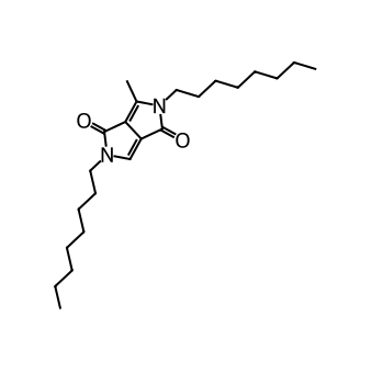 CCCCCCCCN1C=C2C(=O)N(CCCCCCCC)C(C)=C2C1=O